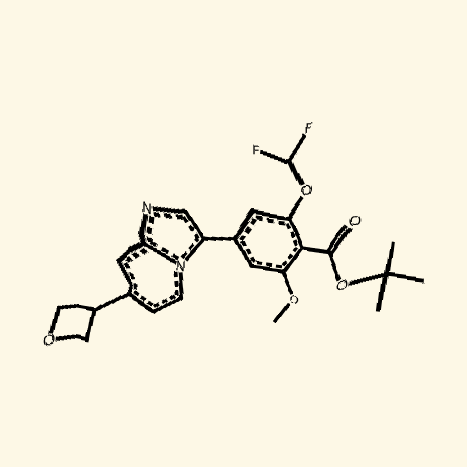 COc1cc(-c2cnc3cc(C4COC4)ccn23)cc(OC(F)F)c1C(=O)OC(C)(C)C